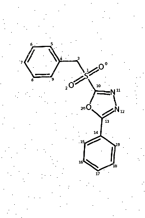 O=S(=O)(Cc1ccccc1)c1nnc(-c2ccccc2)o1